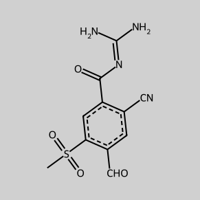 CS(=O)(=O)c1cc(C(=O)N=C(N)N)c(C#N)cc1C=O